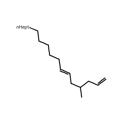 C=CCC(C)CC=CCCCCCCCCCCCC